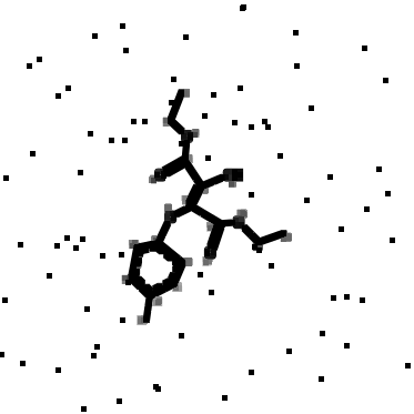 CCOC(=O)/C(O)=C(\Oc1ccc(C)cc1)C(=O)OCC